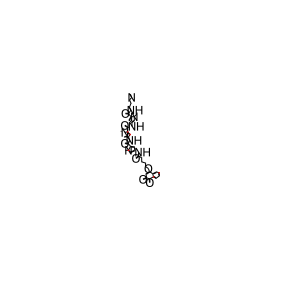 CN(C)CCCNC(=O)c1cc(NC(=O)c2cc(NC(=O)c3cc(NC(=O)CCCCOC4=CC(=O)C(=O)c5ccccc54)cn3C)cn2C)cn1C